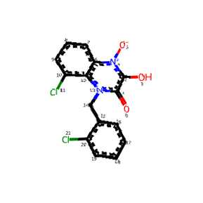 O=c1c(O)[n+]([O-])c2cccc(Cl)c2n1Cc1ccccc1Cl